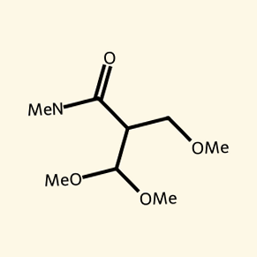 CNC(=O)C(COC)C(OC)OC